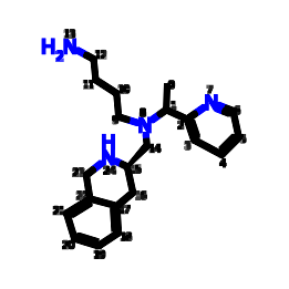 CC(c1ccccn1)N(CCCCN)C[C@H]1Cc2ccccc2CN1